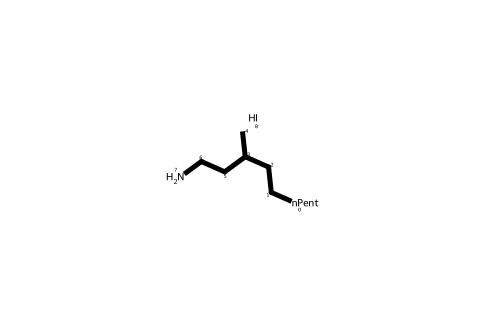 CCCCCCCC(C)CCN.I